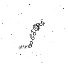 CCCCCCOc1ccc(-c2ccc(-c3ccc(-c4cc(F)c(C(F)(F)Oc5ccc(F)c(F)c5)c(F)c4)c(F)c3)c(F)c2)cc1